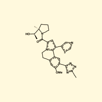 COc1cc2c(cc1-c1nnn(C)n1)-c1c(-c3cncs3)cc(C(=O)N3CCC[C@]3(C)[C@@H](C)O)n1CC2